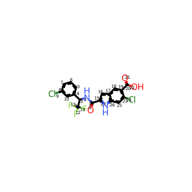 O=C(NC(c1cccc(Cl)c1)C(F)(F)F)c1cc2cc(C(=O)O)c(Cl)cc2[nH]1